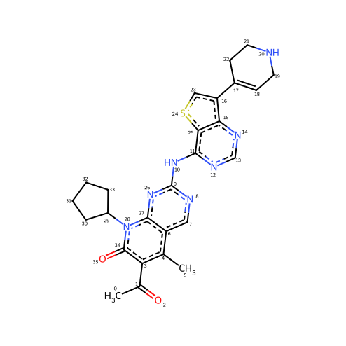 CC(=O)c1c(C)c2cnc(Nc3ncnc4c(C5=CCNCC5)csc34)nc2n(C2CCCC2)c1=O